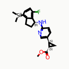 COC(=O)[C@H]1C[C@@H]1c1ccc(N[C@@H]2CCc3c([SiH](C)C)ccc(F)c32)nc1